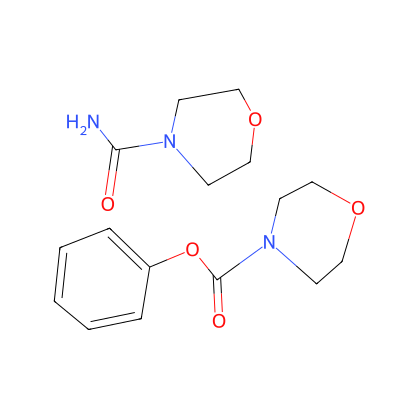 NC(=O)N1CCOCC1.O=C(Oc1ccccc1)N1CCOCC1